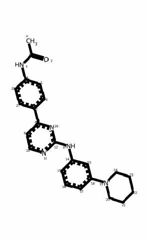 CC(=O)Nc1ccc(-c2ccnc(Nc3cccc(N4CCCCC4)c3)n2)cc1